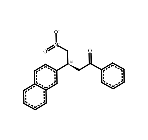 O=C(C[C@H](C[N+](=O)[O-])c1ccc2ccccc2c1)c1ccccc1